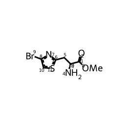 COC(=O)[C@@H](N)Cc1nc(Br)cs1